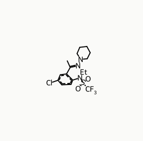 CCN(c1ccc(Cl)cc1C(C)=NN1CCCCC1)S(=O)(=O)C(F)(F)F